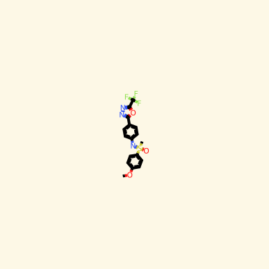 COc1ccc(S(C)(=O)=Nc2ccc(-c3nnc(C(F)(F)F)o3)cc2)cc1